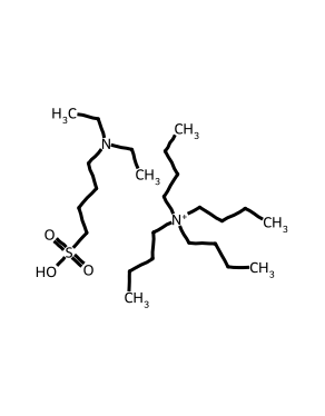 CCCC[N+](CCCC)(CCCC)CCCC.CCN(CC)CCCCS(=O)(=O)O